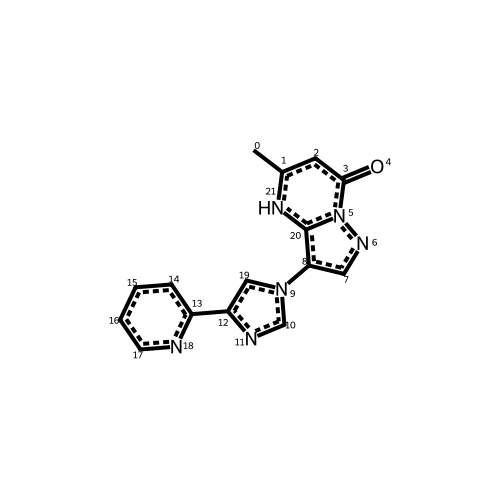 Cc1cc(=O)n2ncc(-n3cnc(-c4ccccn4)c3)c2[nH]1